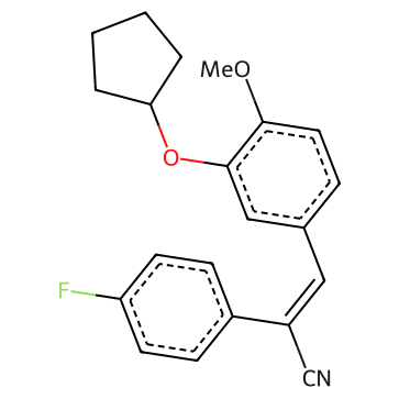 COc1ccc(C=C(C#N)c2ccc(F)cc2)cc1OC1CCCC1